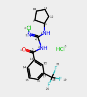 Cl.O=C(NC(=NCl)NC1CCCC1)c1cccc(C(F)(F)F)c1